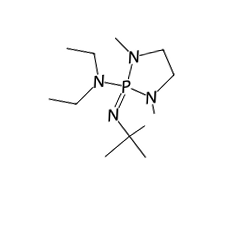 CCN(CC)P1(=NC(C)(C)C)N(C)CCN1C